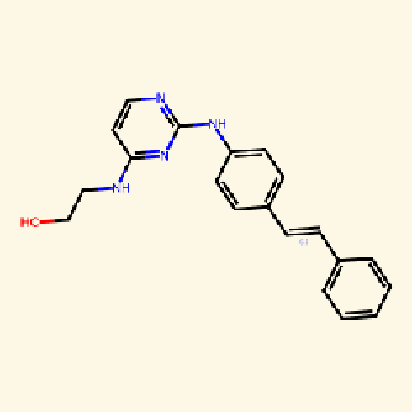 OCCNc1ccnc(Nc2ccc(/C=C/c3ccccc3)cc2)n1